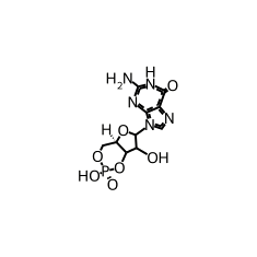 Nc1nc2c(ncn2C2O[C@@H]3COP(=O)(O)OC3C2O)c(=O)[nH]1